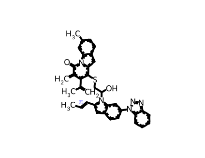 C=C(C)c1c(SCC(O)n2c(/C=C/C)cc3ccc(-n4nnc5ccccc54)cc32)c2cc3ccc(C)cc3n2c(=O)c1=C